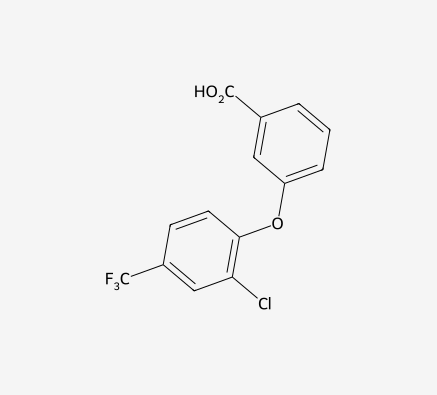 O=C(O)c1cccc(Oc2ccc(C(F)(F)F)cc2Cl)c1